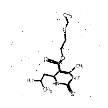 CCOCCOC(=O)C1=C(C)NC(=S)NC1CC(C)C